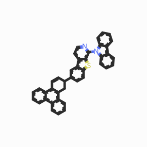 C1=CC(c2ccc3sc4c(-n5c6ccccc6c6ccccc65)nccc4c3c2)Cc2c1c1ccccc1c1ccccc21